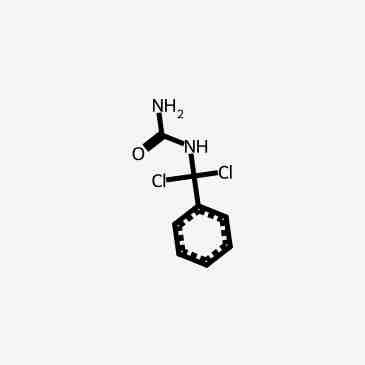 NC(=O)NC(Cl)(Cl)c1ccccc1